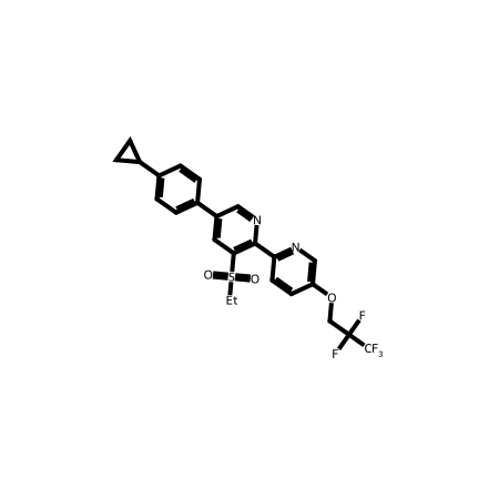 CCS(=O)(=O)c1cc(-c2ccc(C3CC3)cc2)cnc1-c1ccc(OCC(F)(F)C(F)(F)F)cn1